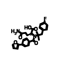 CC(C)(Cc1ccc(F)cc1)N(C(=O)c1ccc(-c2ccco2)cc1)[C@@H](CCC(N)=O)C(=O)O